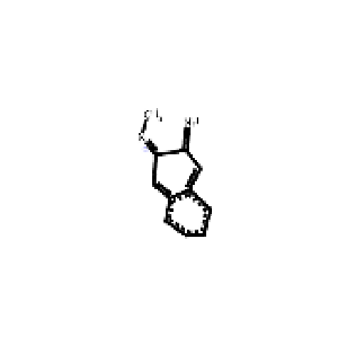 C/N=C1/C=c2ccccc2=CC1=N